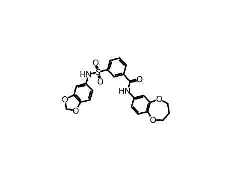 O=C(Nc1ccc2c(c1)OCCCO2)c1cccc(S(=O)(=O)Nc2ccc3c(c2)OCO3)c1